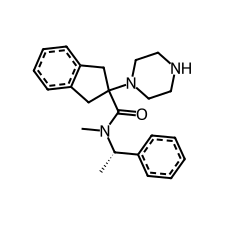 C[C@@H](c1ccccc1)N(C)C(=O)C1(N2CCNCC2)Cc2ccccc2C1